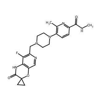 CNC(=O)c1ccc(N2CCN(Cc3ncc4c(c3F)NC(=O)C3(CC3)O4)CC2)c(C)n1